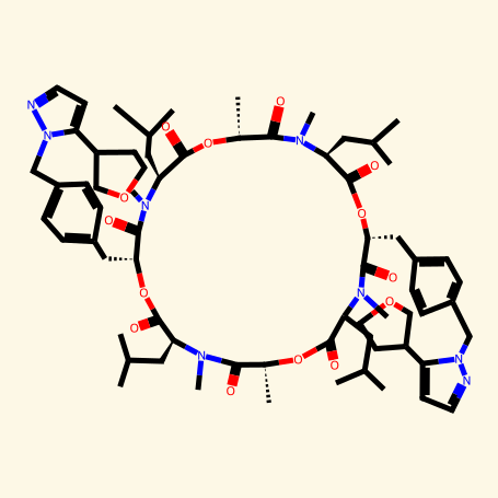 CC(C)CC1C(=O)O[C@H](C)C(=O)N(C)[C@@H](CC(C)C)C(=O)O[C@H](Cc2ccc(Cn3nccc3C3CCOC3)cc2)C(=O)N(C)[C@@H](CC(C)C)C(=O)O[C@H](C)C(=O)N(C)[C@@H](CC(C)C)C(=O)O[C@H](Cc2ccc(Cn3nccc3C3CCOC3)cc2)C(=O)N1C